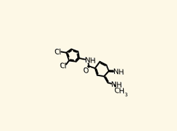 CN/C=C1/C=C(C(=O)Nc2ccc(Cl)c(Cl)c2)C=CC1=N